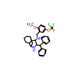 COc1ccc(OC(F)(F)F)cc1CNC1C(C(c2ccccc2)c2ccccc2)NC2CC3CCCC2C31